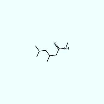 CNC(=S)CC(C)CC(C)C